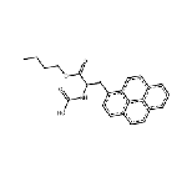 CCCCOC(=O)[C@@H](Cc1ccc2ccc3cccc4ccc1c2c34)NC(=O)O